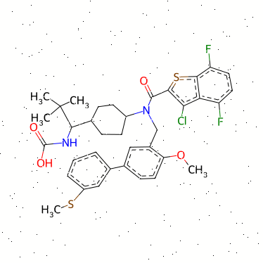 COc1ccc(-c2cccc(SC)c2)cc1CN(C(=O)c1sc2c(F)ccc(F)c2c1Cl)C1CCC(C(NC(=O)O)C(C)(C)C)CC1